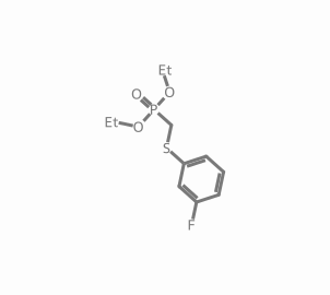 CCOP(=O)(CSc1cccc(F)c1)OCC